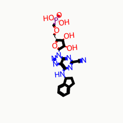 N#Cc1nc(N[C@H]2CCc3ccccc32)c2nnn([C@@H]3O[C@H](COCP(=O)(O)O)[C@@H](O)[C@H]3O)c2n1